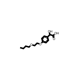 CCCCOCCOc1ccc(C(O)C(=O)O)cc1